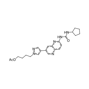 CC(=O)OCCCCn1cc(-c2cnc3ccc(NC(=O)NC4CCCC4)nc3c2)cn1